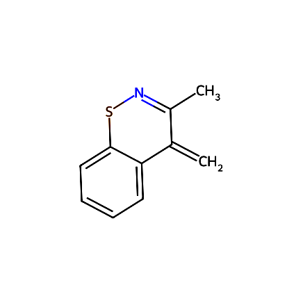 C=C1C(C)=NSc2ccccc21